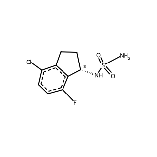 NS(=O)(=O)N[C@H]1CCc2c(Cl)ccc(F)c21